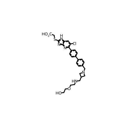 O=C(O)CSc1nc2nc(-c3ccc(-c4ccc(CN5CC(CNCCOCCO)C5)cc4)cc3)c(Cl)cc2[nH]1